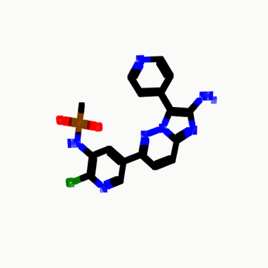 CS(=O)(=O)Nc1cc(-c2ccc3nc(N)c(-c4ccncc4)n3n2)cnc1Cl